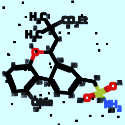 CCOC(=O)C(C)(C)CC1Oc2cccc(OC)c2-c2ccc(CS(N)(=O)=O)cc21